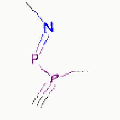 C#P(C)P=NC